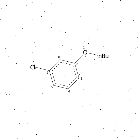 CCCCOc1c[c]cc(Cl)c1